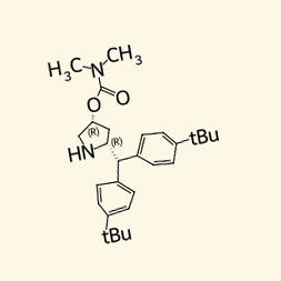 CN(C)C(=O)O[C@H]1CN[C@@H](C(c2ccc(C(C)(C)C)cc2)c2ccc(C(C)(C)C)cc2)C1